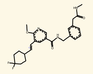 CNC(=O)Cc1cccc(CNC(=O)c2cnc(OC)c(/C=C/C3CCC(F)(F)CC3)c2)c1